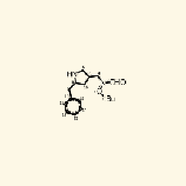 CC(C)(C)ON(C=O)CC1CNC(Cc2ccccc2)C1